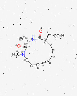 CC[C@H](C)[C@@H]1NC(=O)[C@@H](CC(=O)O)CCCC=CCCCN(C)C1=O